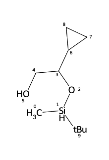 C[SiH](OC(CO)C1CC1)C(C)(C)C